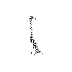 CCCCCCCCCCCCCCCCCOc1ccc(-c2ccc(OC(=O)C(F)CC(C)C)cc2)cc1